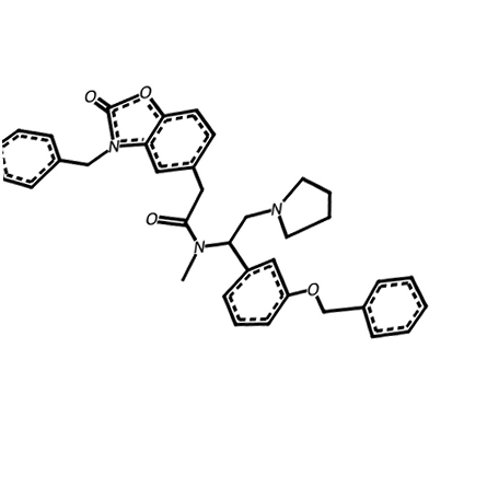 CN(C(=O)Cc1ccc2oc(=O)n(Cc3ccccc3)c2c1)C(CN1CCCC1)c1cccc(OCc2ccccc2)c1